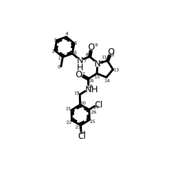 Cc1ccccc1NC(=O)N1C(=O)CCC1C(=O)NCc1ccc(Cl)cc1Cl